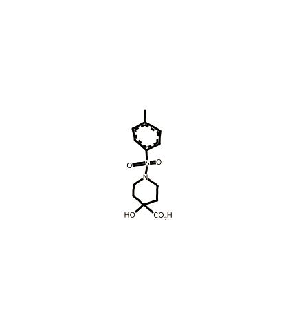 Cc1ccc(S(=O)(=O)N2CCC(O)(C(=O)O)CC2)cc1